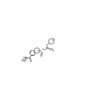 CN(CC[C@@]1(C=O)CCc2ccc(C(=O)NO)cc2C1)CC1CCOCC1